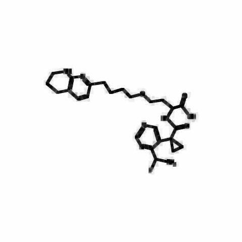 O=C(O)C(CCOCCCCc1ccc2c(n1)NCCC2)NC(=O)C1(c2cncnc2C(F)P)CC1